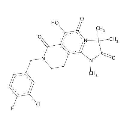 CN1C(=O)C(C)(C)n2c1c1c(c(O)c2=O)C(=O)N(Cc2ccc(F)c(Cl)c2)CC1